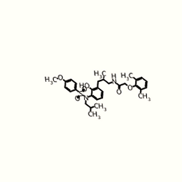 COc1ccc(S(=O)(=O)N(CC(C)C)c2cccc(C[C@@H](C)CNC(=O)COc3c(C)cccc3C)c2O)cc1